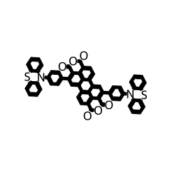 O=C1OC(=O)c2c(-c3ccc(N4c5ccccc5Sc5ccccc54)cc3)cc3c4ccc5c6c(c(-c7ccc(N8c9ccccc9Sc9ccccc98)cc7)cc(c7ccc1c2c73)c64)C(=O)OC5=O